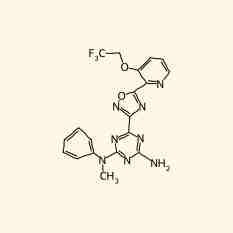 CN(c1ccccc1)c1nc(N)nc(-c2noc(-c3ncccc3OCC(F)(F)F)n2)n1